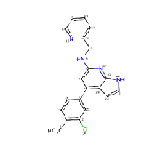 O=C(O)c1ccc(-c2cc(NCc3ccccn3)nc3[nH]ccc23)cc1Cl